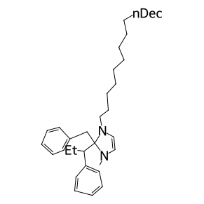 CCCCCCCCCCCCCCCCCCCN1C=CN(C)C1(Cc1ccccc1)C(CC)c1ccccc1